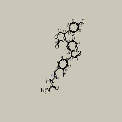 NC(=O)N/N=C/c1ccc(-c2cnn3ccc(N4C(=O)OCC4c4ccc(F)cn4)nc23)cc1F